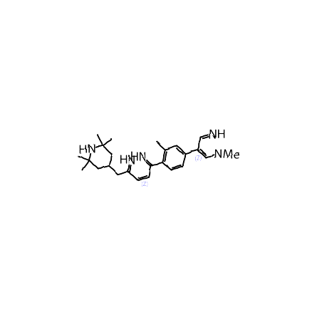 CN/C=C(\C=N)c1ccc(C(=N)/C=C\C(=N)CC2CC(C)(C)NC(C)(C)C2)c(C)c1